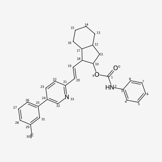 O=C(Nc1ccccc1)OC1CC2CCCCC2C1C=Cc1ccc(-c2cccc(F)c2)cn1